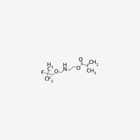 C=C(C)C(=O)OCCNCOCC(C)(F)C(F)(F)F